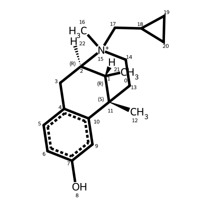 C[C@H]1[C@H]2Cc3ccc(O)cc3[C@@]1(C)CC[N+]2(C)CC1CC1